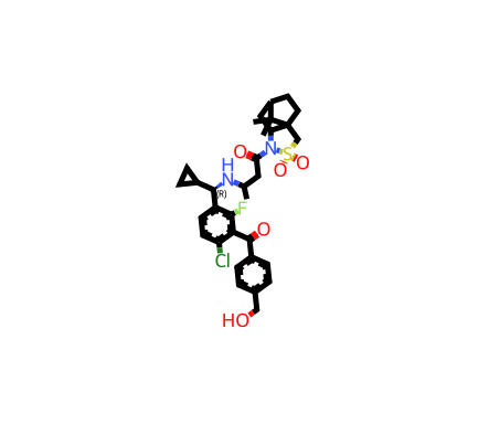 CC(CC(=O)N1C2CC3CCC2(CS1(=O)=O)C3(C)C)N[C@@H](c1ccc(Cl)c(C(=O)c2ccc(CO)cc2)c1F)C1CC1